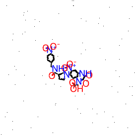 O=C(O)Cn1c(=O)c(=O)[nH]c2cc([N+](=O)[O-])c(-n3ccc(C(=O)NCc4ccc([N+](=O)[O-])cc4)c3)cc21